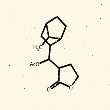 CC(=O)OC(C1CCOC1=O)C1CC2CCC1C2C